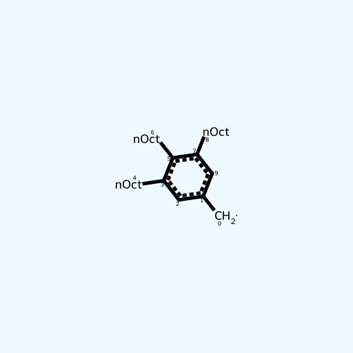 [CH2]c1cc(CCCCCCCC)c(CCCCCCCC)c(CCCCCCCC)c1